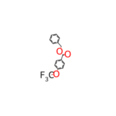 O=C(OCc1ccccc1)c1ccc(OC(F)(F)F)cc1